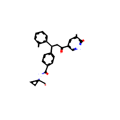 Cc1ccccc1C(CC(=O)c1c[nH]c(=O)c(C)c1)c1ccc(C(=O)NC2(CO)CC2)cc1